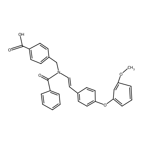 COc1cccc(Oc2ccc(C=CN(Cc3ccc(C(=O)O)cc3)C(=O)c3ccccc3)cc2)c1